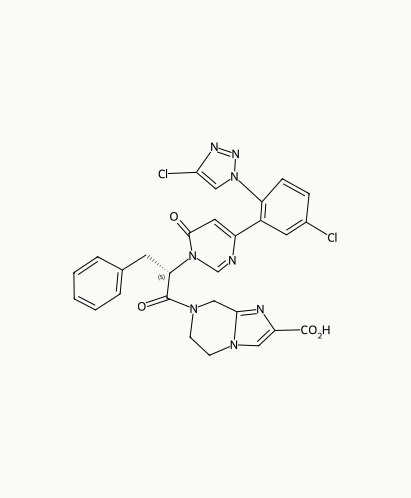 O=C(O)c1cn2c(n1)CN(C(=O)[C@H](Cc1ccccc1)n1cnc(-c3cc(Cl)ccc3-n3cc(Cl)nn3)cc1=O)CC2